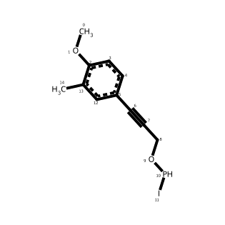 COc1ccc(C#CCOPI)cc1C